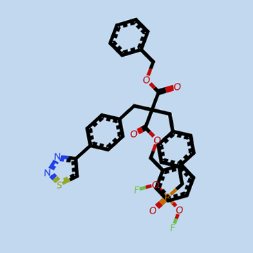 O=C(OCc1ccccc1)C(Cc1ccc(CP(=O)(OF)OF)cc1)(Cc1ccc(-c2csnn2)cc1)C(=O)OCc1ccccc1